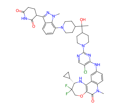 Cn1nc(C2CCC(=O)NC2=O)c2cccc(N3CCC(C(C)(O)C4CCN(c5ncc(Cl)c(Nc6ccc7c(c6)c6c(c(=O)n7C)OCC(F)(F)[C@H](C7CC7)N6)n5)CC4)CC3)c21